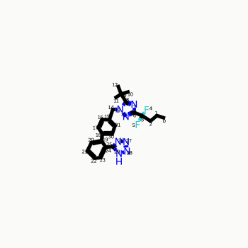 CCCC(F)(F)c1nc(C(C)(C)C)n(Cc2ccc(-c3ccccc3-c3nnn[nH]3)cc2)n1